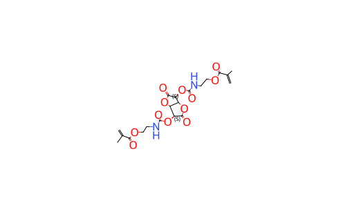 C=C(C)C(=O)OCCNC(=O)O[C@@H]1C(=O)OC2C1OC(=O)[C@H]2OC(=O)NCCOC(=O)C(=C)C